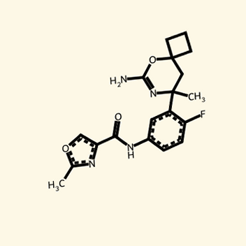 Cc1nc(C(=O)Nc2ccc(F)c(C3(C)CC4(CCC4)OC(N)=N3)c2)co1